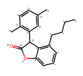 CCCCc1cccc2c1C(c1cc(C)ccc1C)C(=O)O2